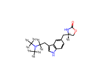 [2H]C([2H])([2H])N(C([2H])([2H])[2H])C([2H])([2H])Cc1c[nH]c2ccc(C[C@@]3([2H])COC(=O)N3)cc12